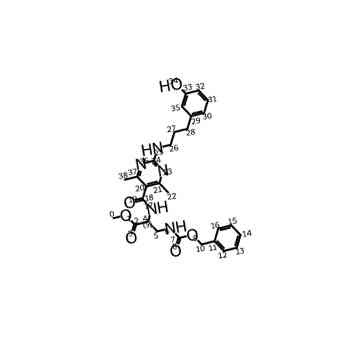 COC(=O)[C@H](CNC(=O)OCc1ccccc1)NC(=O)c1c(C)nc(NCCCc2cccc(O)c2)nc1C